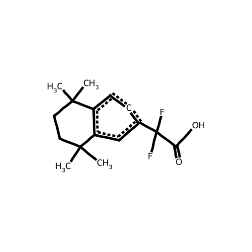 CC1(C)CCC(C)(C)c2cc(C(F)(F)C(=O)O)ccc21